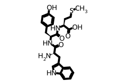 CSCC[C@H](NC(=O)[C@H](Cc1ccc(O)cc1)NC(=O)[C@@H](N)Cc1c[nH]c2ccccc12)C(=O)O